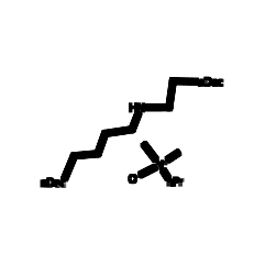 CCCCCCCCCCCCCCNCCCCCCCCCCCC.CCC[N+](C)(C)[O-]